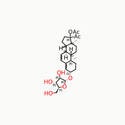 CC(=O)O[C@]1(C(C)=O)CC[C@H]2[C@@H]3C=CC4=C[C@@H](O[C@@H]5O[C@@H](CO)[C@H](O)[C@H]5O)CC[C@]4(C)[C@H]3CC[C@@]21C